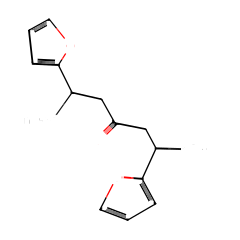 CCCCCCCCCCC(CC(=O)CC(CCCCCCCCCC)c1ccco1)c1ccco1